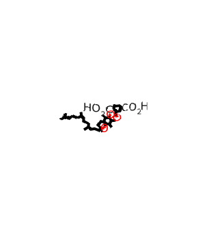 CC(C)=CCCC(C)=CCCC(C)=CCCC1(C)CCc2c(C)c(OC(=O)c3cc(C(=O)O)ccc3C(=O)O)c(C)c(C)c2O1